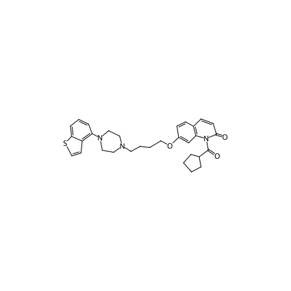 O=C(C1CCCC1)n1c(=O)ccc2ccc(OCCCCN3CCN(c4cccc5sccc45)CC3)cc21